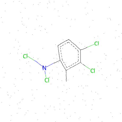 Cc1c(N(Cl)Cl)ccc(Cl)c1Cl